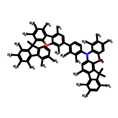 Bc1cc(B)c(N(c2ccc(-c3cc(B)c4c(oc5c(C6(C)c7ccc(B)c(B)c7-c7c(B)c(B)c(B)c(B)c76)c(B)c(B)c(B)c54)c3B)c(B)c2B)c2cc(B)c3c(c2B)C(C)(C)c2c(B)cc(B)c(B)c2-3)c(B)c1B